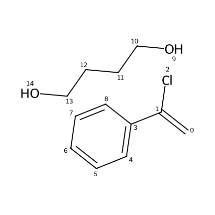 C=C(Cl)c1ccccc1.OCCCCO